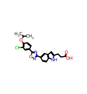 CC(C)Oc1ccc(-c2nc(-c3ccc4[nH]c(CCC(=O)O)cc4c3)no2)cc1Cl